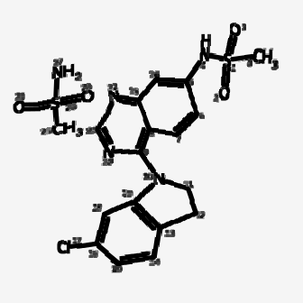 CS(=O)(=O)Nc1ccc2c(N3CCc4ccc(Cl)cc43)ncnc2c1.CS(N)(=O)=O